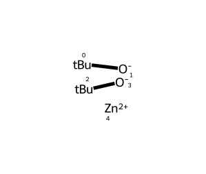 CC(C)(C)[O-].CC(C)(C)[O-].[Zn+2]